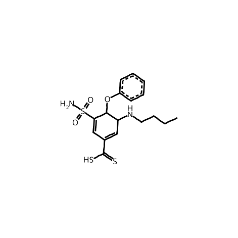 CCCCNC1C=C(C(=S)S)C=C(S(N)(=O)=O)C1Oc1ccccc1